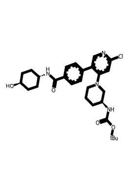 CC(C)(C)OC(=O)N[C@H]1CCCN(c2cc(Cl)ncc2-c2ccc(C(=O)N[C@H]3CC[C@H](O)CC3)cc2)C1